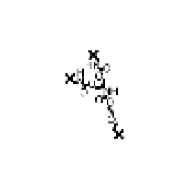 CC(C)(C)CCOCCOC(=O)NC(COC(=O)NCC(C)(C)C)COC(=O)NCC(C)(C)C